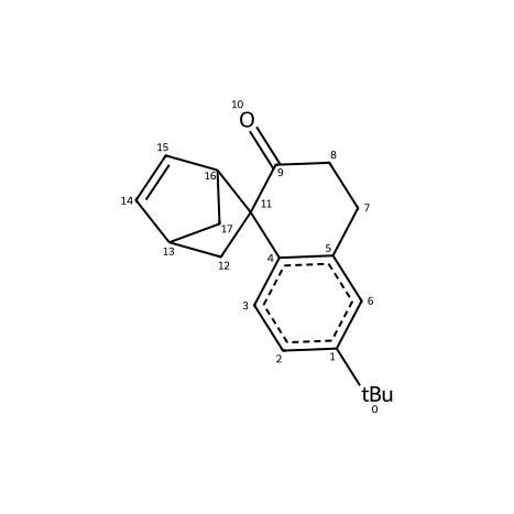 CC(C)(C)c1ccc2c(c1)CCC(=O)C21CC2C=CC1C2